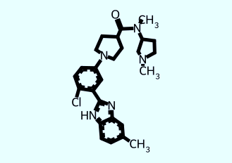 Cc1ccc2[nH]c(-c3cc(N4CCC(C(=O)N(C)C5CCN(C)C5)CC4)ccc3Cl)nc2c1